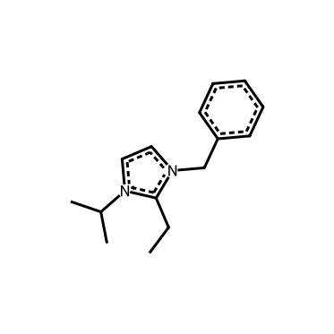 CCc1n(Cc2ccccc2)cc[n+]1C(C)C